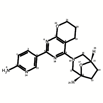 Nc1ccc(-c2nc3c(c(N4C[C@H]5CC[C@@H](C4)O5)n2)CCCO3)cn1